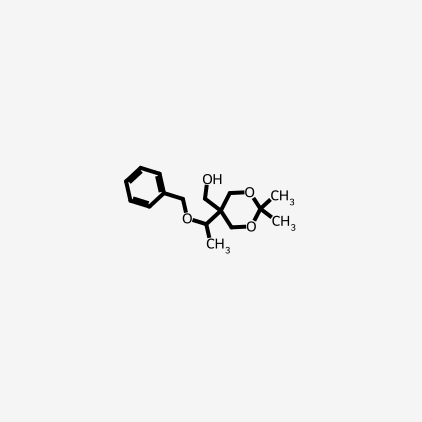 CC(OCc1ccccc1)C1(CO)COC(C)(C)OC1